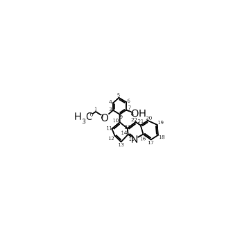 CCOc1cccc(O)c1-c1cccc2nc3ccccc3cc12